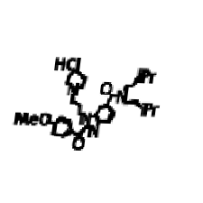 COc1ccc(C(=O)c2nc3ccc(C(=O)N(CCC(C)C)CCC(C)C)cc3n2CCCN2CCCCC2)cc1.Cl